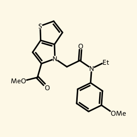 CCN(C(=O)Cn1c(C(=O)OC)cc2sccc21)c1cccc(OC)c1